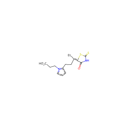 CC/C(CCc1cccn1CCC(=O)O)=C1\SC(=S)NC1=O